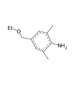 CCOCc1cc(C)c(N)c(C)c1